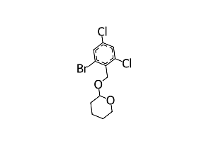 Clc1cc(Cl)c(COC2CCCCO2)c(Br)c1